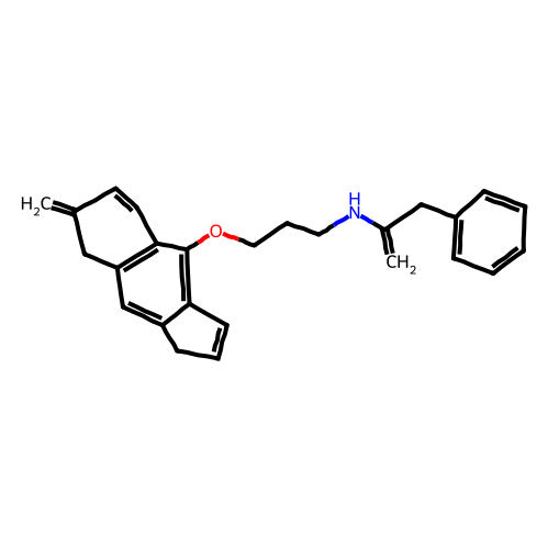 C=C1C=Cc2c(cc3c(c2OCCCNC(=C)Cc2ccccc2)C=CC3)C1